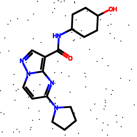 O=C(NC1CCC(O)CC1)c1cnn2ccc(N3CCCC3)nc12